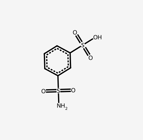 NS(=O)(=O)c1cccc(S(=O)(=O)O)c1